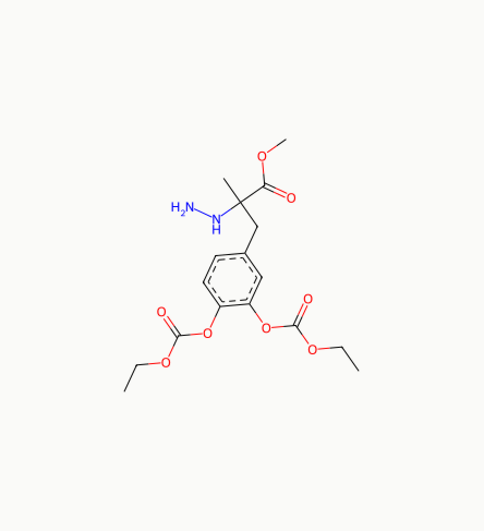 CCOC(=O)Oc1ccc(CC(C)(NN)C(=O)OC)cc1OC(=O)OCC